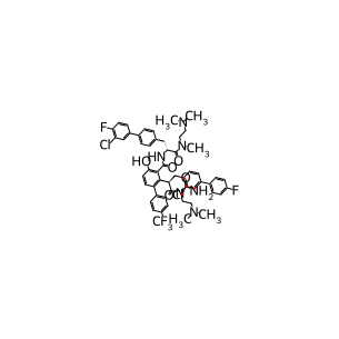 CN(C)CCN(C)C(=O)[C@@H](Cc1ccc(-c2ccc(F)c(Cl)c2)cc1)NC(=O)c1c(O)ccc(-c2ccc(C(F)(F)F)cc2)c1[C@@H](Cc1ccc(-c2ccc(F)cc2)cc1Cl)C(=O)N(CCN(C)C)C(N)=O